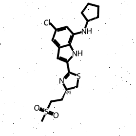 CS(=O)(=O)CC[C@@H]1CSC(c2cc3cc(Cl)cc(NC4CCCC4)c3[nH]2)=N1